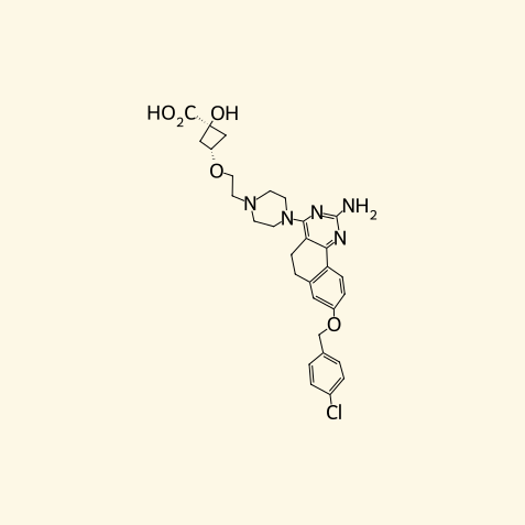 Nc1nc2c(c(N3CCN(CCO[C@H]4C[C@@](O)(C(=O)O)C4)CC3)n1)CCc1cc(OCc3ccc(Cl)cc3)ccc1-2